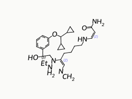 C=N/C=C(/CCCCN/C=C\C(N)=O)N(N)C[C@](O)(CC)c1cccc(OC(C2CC2)C2CC2)c1